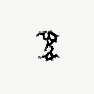 CCCC(Cn1c(=O)n(Cc2cc(C(F)(F)F)ccc2C)c2ccccc21)C(=O)O